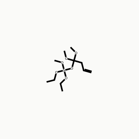 C=CCC(OC)(OC)O[Si](OC)(OCC)OCC